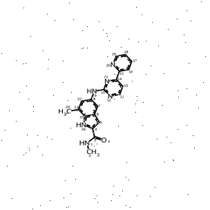 CNC(=O)c1cc2cc(Nc3nccc(-c4ccccn4)n3)cc(C)c2[nH]1